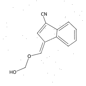 N#CC1=CC(=COCO)c2ccccc21